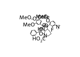 COCOc1ccc(N(C)C)c(F)c1C(=O)C1CCCN(C(=O)O)C(OC(=O)c2ccccc2)C1NC(=O)c1cc(OC)c(OCOC)c(OC)c1